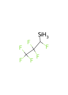 FC([SiH3])C(F)(F)C(F)(F)F